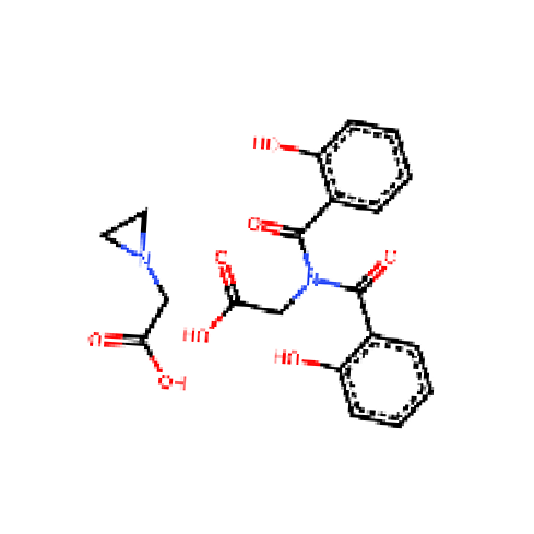 O=C(O)CN(C(=O)c1ccccc1O)C(=O)c1ccccc1O.O=C(O)CN1CC1